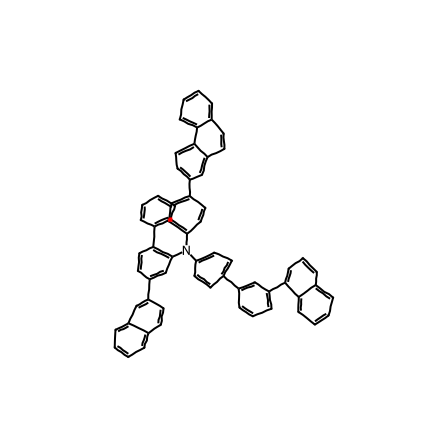 c1ccc(-c2ccc(-c3ccc4ccccc4c3)cc2N(c2ccc(-c3cccc(-c4cccc5ccccc45)c3)cc2)c2ccc(-c3ccc4c(ccc5ccccc54)c3)cc2)cc1